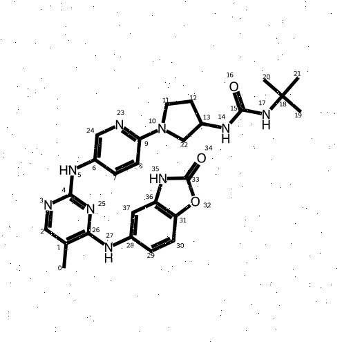 Cc1cnc(Nc2ccc(N3CCC(NC(=O)NC(C)(C)C)C3)nc2)nc1Nc1ccc2oc(=O)[nH]c2c1